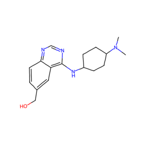 CN(C)C1CCC(Nc2ncnc3ccc(CO)cc23)CC1